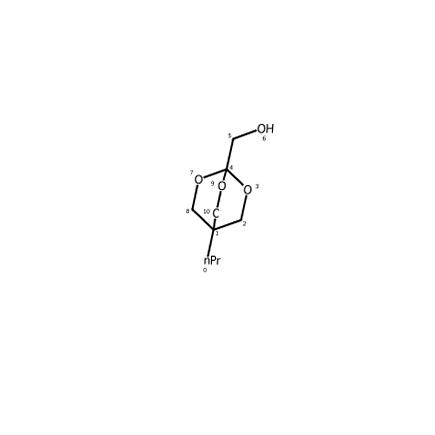 CCCC12COC(CO)(OC1)OC2